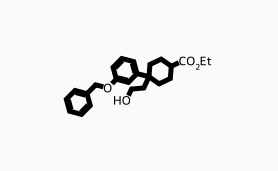 CCOC(=O)C1CCC(CCO)(c2cccc(OCc3ccccc3)c2)CC1